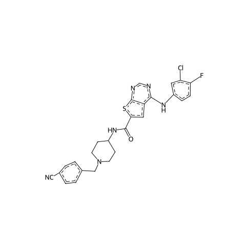 N#Cc1ccc(CN2CCC(NC(=O)c3cc4c(Nc5ccc(F)c(Cl)c5)ncnc4s3)CC2)cc1